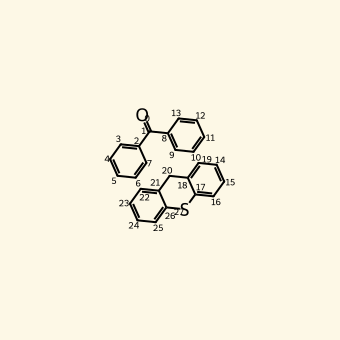 O=C(c1ccccc1)c1ccccc1.c1ccc2c(c1)Cc1ccccc1S2